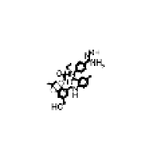 CCOC(=O)COc1c(CNc2ccc(C)cc2C(=O)Nc2ccc(/C(N)=N/O)cc2)cc(CO)cc1OC(C)C